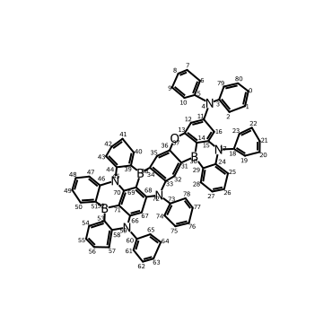 c1ccc(N(c2ccccc2)c2cc3c4c(c2)N(c2ccccc2)c2ccccc2B4c2cc4c(cc2O3)B2c3ccccc3N3c5ccccc5B5c6ccccc6N(c6ccccc6)c6cc(c2c3c65)N4c2ccccc2)cc1